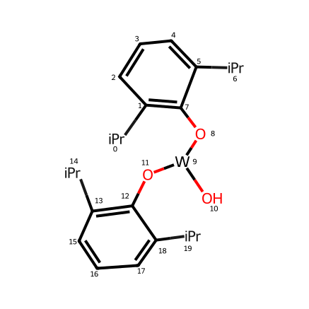 CC(C)c1cccc(C(C)C)c1[O][W]([OH])[O]c1c(C(C)C)cccc1C(C)C